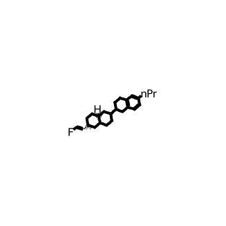 CCCc1ccc2c(c1)CCC(C1CCC3C[C@H](C=CF)CC[C@@H]3C1)C2